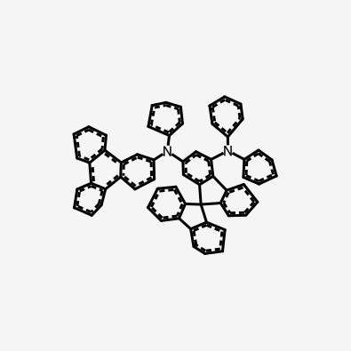 c1ccc(N(c2cc(N(c3ccccc3)c3ccccc3)c3c(c2)C2(c4ccccc4-c4ccccc42)c2ccccc2-3)c2ccc3c4ccccc4c4ccccc4c3c2)cc1